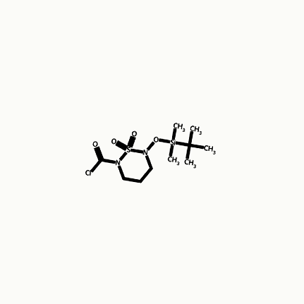 CC(C)(C)[Si](C)(C)ON1CCCN(C(=O)Cl)S1(=O)=O